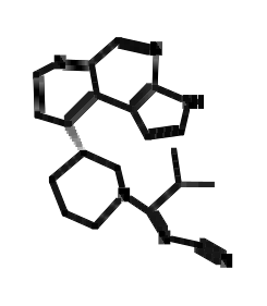 CC(C)/C(=N\C#N)N1CCC[C@H](c2ccnc3cnc4[nH]ccc4c23)C1